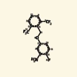 Nc1cc(OCc2c(C(F)(F)F)cccc2C(F)(F)F)ccc1F